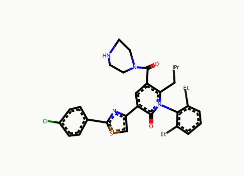 CCc1cccc(CC)c1-n1c(CC(C)C)c(C(=O)N2CCNCC2)cc(-c2csc(-c3ccc(Cl)cc3)n2)c1=O